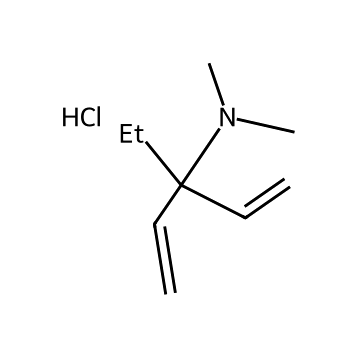 C=CC(C=C)(CC)N(C)C.Cl